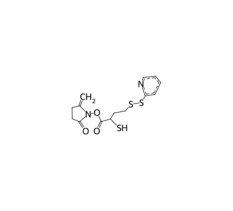 C=C1CCC(=O)N1OC(=O)C(S)CCSSc1ccccn1